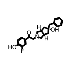 O=C(CN1C[C@@H]2C[C@](O)(Cc3ccccc3)C[C@@H]2C1)c1ccc(O)c(F)c1